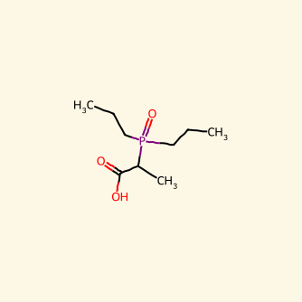 CCCP(=O)(CCC)C(C)C(=O)O